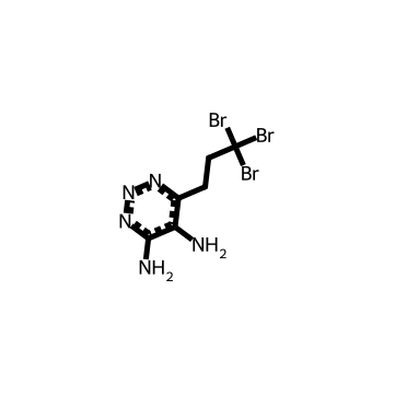 Nc1nnnc(CCC(Br)(Br)Br)c1N